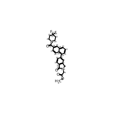 COC(=O)CN1Cc2cc(-c3cccc4cc(C(=O)N5CCC(F)(F)CC5)ccc34)ccc2C1=O